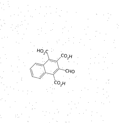 O=Cc1c(C(=O)O)c(C(=O)O)c2ccccc2c1C(=O)O